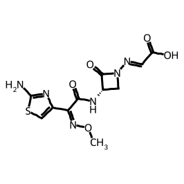 CO/N=C(\C(=O)N[C@H]1CN(N=CC(=O)O)C1=O)c1csc(N)n1